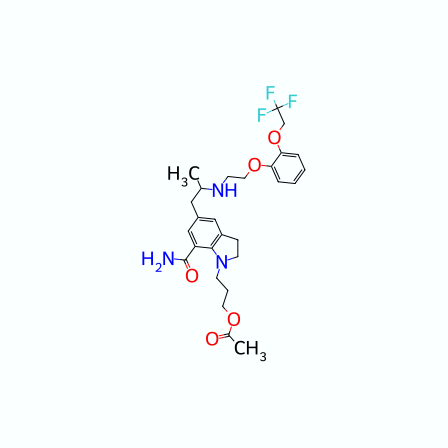 CC(=O)OCCCN1CCc2cc(CC(C)NCCOc3ccccc3OCC(F)(F)F)cc(C(N)=O)c21